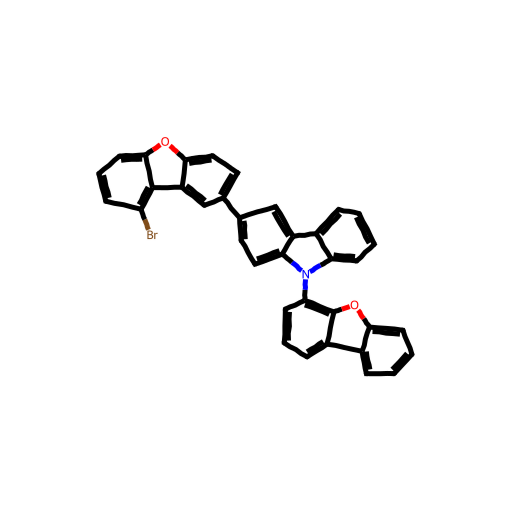 Brc1cccc2oc3ccc(-c4ccc5c(c4)c4ccccc4n5-c4cccc5c4oc4ccccc45)cc3c12